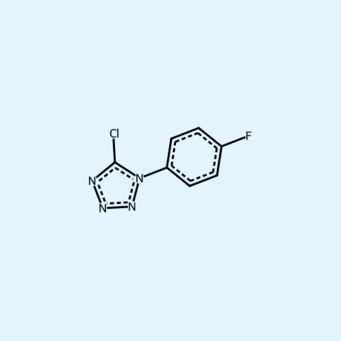 Fc1ccc(-n2nnnc2Cl)cc1